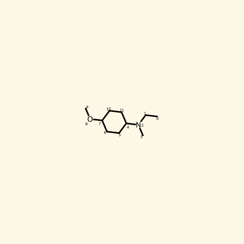 CCN(C)C1CCC(OC)CC1